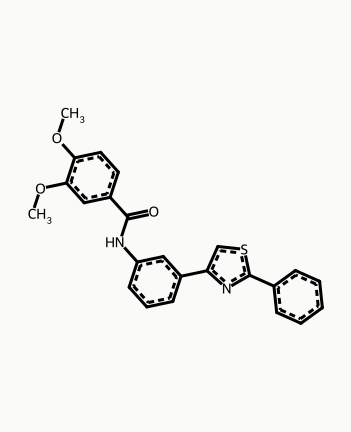 COc1ccc(C(=O)Nc2cccc(-c3csc(-c4ccccc4)n3)c2)cc1OC